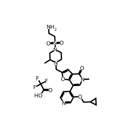 CC1CN(S(=O)(=O)CCN)CCN1Cc1cc2c(=O)n(C)cc(-c3ccncc3OCC3CC3)c2o1.O=C(O)C(F)(F)F